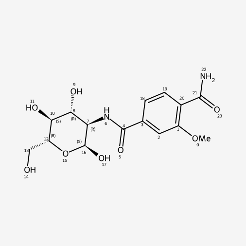 COc1cc(C(=O)N[C@@H]2[C@@H](O)[C@H](O)[C@@H](CO)O[C@@H]2O)ccc1C(N)=O